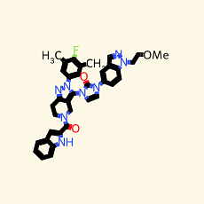 COCCn1ncc2cc(-n3ccn(-c4c5c(nn4-c4cc(C)c(F)c(C)c4)CCN(C(=O)c4cc6ccccc6[nH]4)C5)c3=O)ccc21